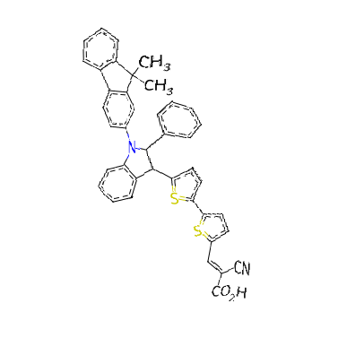 CC1(C)c2ccccc2-c2ccc(N3c4ccccc4C(c4ccc(-c5ccc(/C=C(\C#N)C(=O)O)s5)s4)C3c3ccccc3)cc21